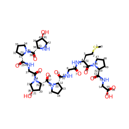 CSCC[C@H](NC(=O)CNC(=O)[C@@H]1CCCN1C(=O)[C@@H]1C[C@@H](O)CN1C(=O)CNC(=O)[C@@H]1CCCN1C(=O)[C@@H]1C[C@@H](O)CN1)C(=O)N1CCC[C@H]1C(=O)NCC(=O)O